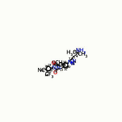 CC(C)(N)CCc1cn(-c2ccc(CN3C(=O)N(c4ccc(C#N)c(C(F)(F)F)c4)C(=O)C3(C)C)cc2)nn1